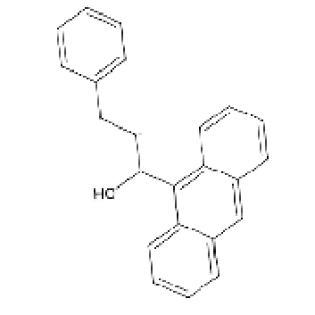 OC([CH]Cc1ccccc1)c1c2ccccc2cc2ccccc12